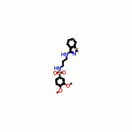 COc1ccc(S(=O)(=O)NCCCNc2nsc3ccccc23)cc1OC